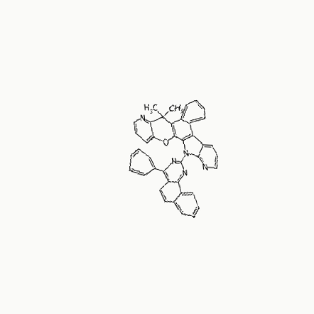 CC1(C)c2ncccc2Oc2c1c1ccccc1c1c3cccnc3n(-c3nc(-c4ccccc4)c4ccc5ccccc5c4n3)c21